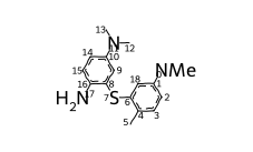 CNc1ccc(C)c(Sc2cc(N(C)C)ccc2N)c1